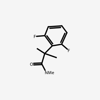 CNC(=O)C(C)(C)c1c(F)cccc1F